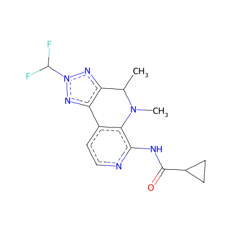 CC1c2nn(C(F)F)nc2-c2ccnc(NC(=O)C3CC3)c2N1C